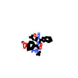 COc1ccc([C@H](C(=O)NC(C)(C)C)N2C(=O)C(C3Cc4ccccc4C3)NC(=O)[C@H]2CC(C)C)cc1